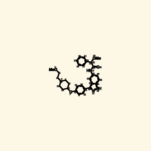 COCCN1CCC(Oc2ccc(-c3n[nH]c4ccc(NC(=O)[C@H](OC)c5ccccc5)cc34)cc2)CC1